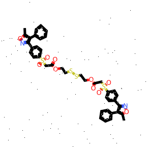 Cc1onc(-c2ccc(S(=O)(=O)CC(=O)OCCSSCCOC(=O)CS(=O)(=O)c3ccc(-c4noc(C)c4-c4ccccc4)cc3)cc2)c1-c1ccccc1